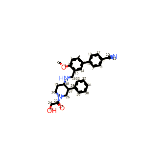 COc1ccc(-c2ccc(C#N)cc2)cc1CNC1CCN(C(=O)CO)CC1c1ccccc1